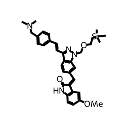 COc1ccc2c(c1)C(=Cc1ccc3c(C=Cc4ccc(CN(C)C)cc4)nn(COCC[Si](C)(C)C)c3c1)C(=O)N2